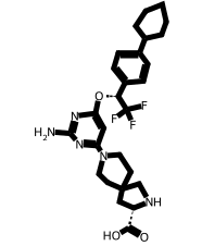 Nc1nc(O[C@H](c2ccc(C3CCCCC3)cc2)C(F)(F)F)cc(N2CCC3(CC2)CN[C@H](C(=O)O)C3)n1